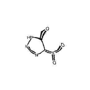 O=C1NN=NC1=S(=O)=O